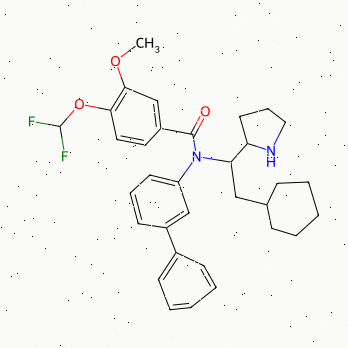 COc1cc(C(=O)N(c2cccc(-c3ccccc3)c2)C(CC2CCCCC2)C2CCCN2)ccc1OC(F)F